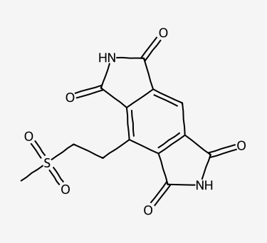 CS(=O)(=O)CCc1c2c(=O)[nH]c(=O)c2cc2c(=O)[nH]c(=O)c12